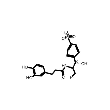 CS(=O)(=O)c1ccc([C@H](O)C(CF)NC(=O)CCc2ccc(O)c(O)c2)cc1